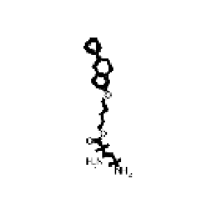 CC(C)(N)CC(N)C(C)(C)C(=O)OCCCCCOc1ccc2c(c1)CCC(c1ccccc1)=C2